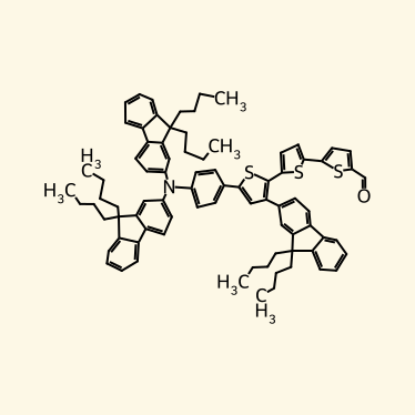 CCCCC1(CCCC)c2ccccc2-c2ccc(-c3cc(-c4ccc(N(c5ccc6c(c5)C(CCCC)(CCCC)c5ccccc5-6)c5ccc6c(c5)C(CCCC)(CCCC)c5ccccc5-6)cc4)sc3-c3ccc(-c4ccc(C=O)s4)s3)cc21